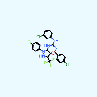 O=C(/N=C(/Nc1cccc(Cl)c1)NC1CC(C(F)(F)F)NN1c1ccc(F)cc1)c1ccc(Cl)cc1